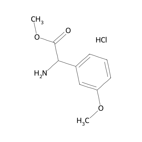 COC(=O)C(N)c1cccc(OC)c1.Cl